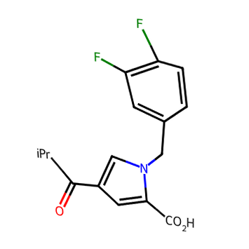 CC(C)C(=O)c1cc(C(=O)O)n(Cc2ccc(F)c(F)c2)c1